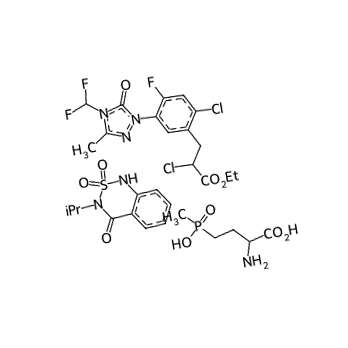 CC(C)N1C(=O)c2ccccc2NS1(=O)=O.CCOC(=O)C(Cl)Cc1cc(-n2nc(C)n(C(F)F)c2=O)c(F)cc1Cl.CP(=O)(O)CCC(N)C(=O)O